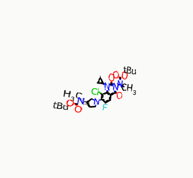 CN(C(=O)OC(C)(C)C)[C@H]1CCN(c2c(F)cc3c(=O)n(N(C)C(=O)OC(C)(C)C)c(=O)n(C4CC4)c3c2Cl)C1